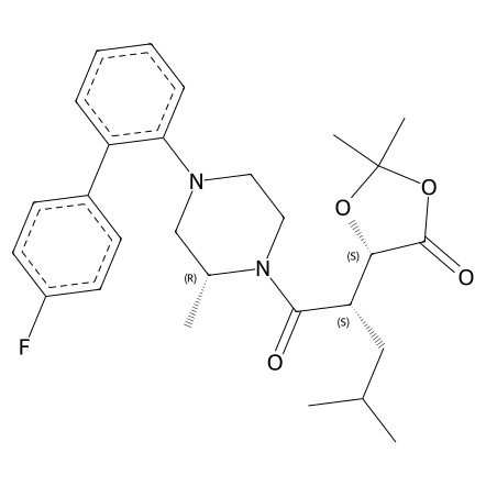 CC(C)C[C@H](C(=O)N1CCN(c2ccccc2-c2ccc(F)cc2)C[C@H]1C)[C@@H]1OC(C)(C)OC1=O